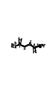 CCNCSNC(C)C